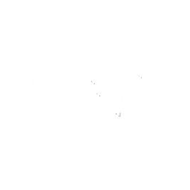 Cc1cc(Cl)c(-n2cc([S+](N)[O-])c(C(N)=S)n2)c(Cl)c1